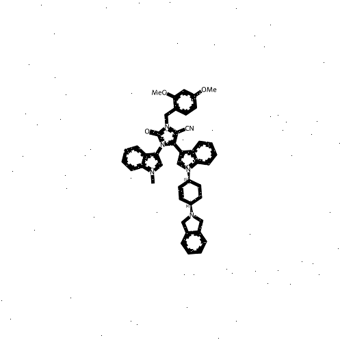 COc1ccc(Cn2c(C#N)c(-c3cn([C@@H]4C=C[C@H](N5Cc6ccccc6C5)CC4)c4ccccc34)n(-c3cn(C)c4ccccc34)c2=O)c(OC)c1